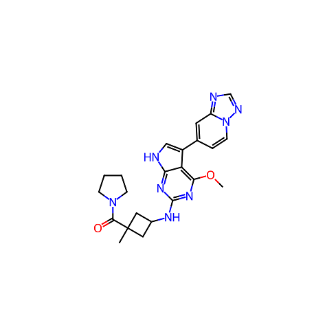 COc1nc(NC2CC(C)(C(=O)N3CCCC3)C2)nc2[nH]cc(-c3ccn4ncnc4c3)c12